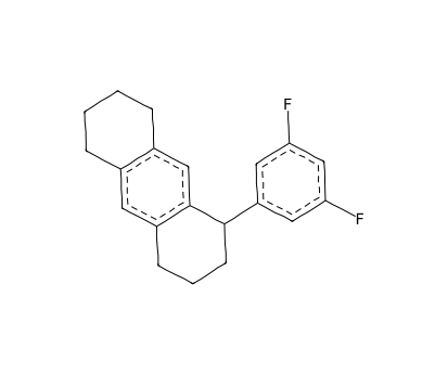 Fc1cc(F)cc(C2CCCc3cc4c(cc32)CCCC4)c1